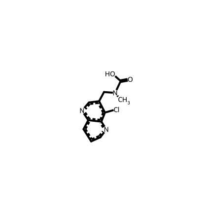 CN(Cc1cnc2cccnc2c1Cl)C(=O)O